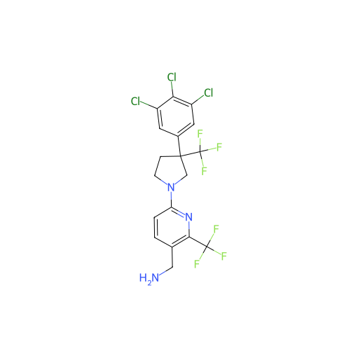 NCc1ccc(N2CCC(c3cc(Cl)c(Cl)c(Cl)c3)(C(F)(F)F)C2)nc1C(F)(F)F